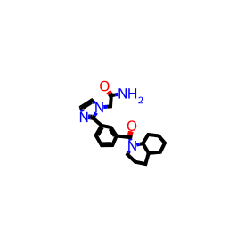 NC(=O)Cn1ccnc1-c1cccc(C(=O)N2CCCC3CCCCC32)c1